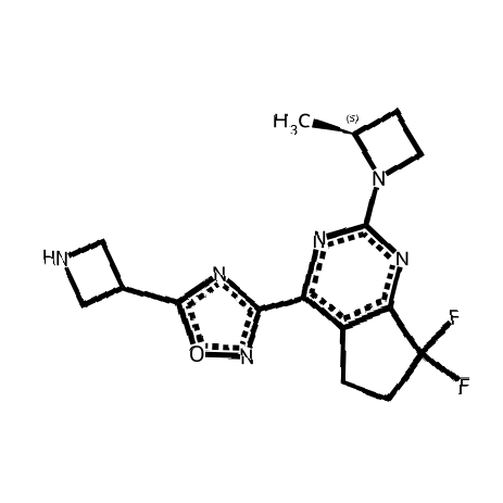 C[C@H]1CCN1c1nc(-c2noc(C3CNC3)n2)c2c(n1)C(F)(F)CC2